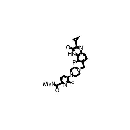 CNC(=O)c1ccc(N2CCN(Cc3ccc4nc(C5CC5)c(=O)[nH]c4c3F)CC2)c(F)n1